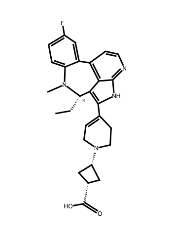 CC[C@H]1c2c(C3=CCN([C@H]4C[C@@H](C(=O)O)C4)CC3)[nH]c3nccc(c23)-c2cc(F)ccc2N1C